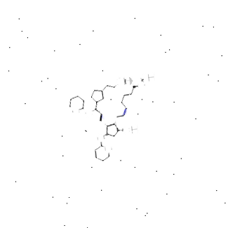 CCCC1CCC([C@@H](/C=C/[C@@H]2[C@@H](C/C=C\CCCC(=O)OC)[C@@H](O)C[C@H]2OC2CCCCO2)OC2CCCCO2)C1